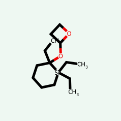 CCC1(OC2CCO2)CCCC[Si]1(CC)CC